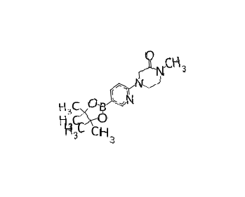 CN1CCN(c2ccc(B3OC(C)(C)C(C)(C)O3)cn2)CC1=O